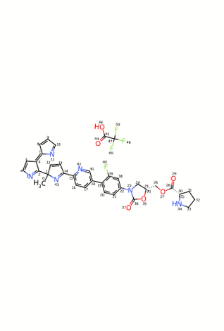 CC1(C2=NC=CC2=C2C=CC=N2)C=CC(c2ccc(-c3ccc(N4C[C@H](COC(=O)[C@@H]5CCCN5)OC4=O)cc3F)cn2)=N1.O=C(O)C(F)(F)F